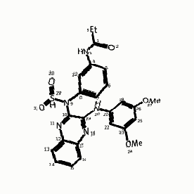 CCC(=O)Nc1cccc(N(c2nc3ccccc3nc2Nc2cc(OC)cc(OC)c2)[SH](=O)=O)c1